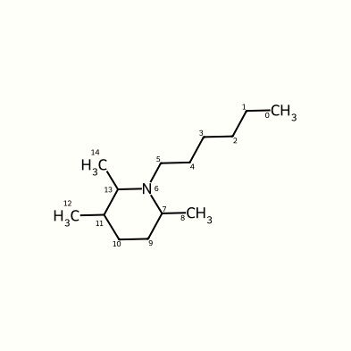 CCCCCCN1C(C)CCC(C)C1C